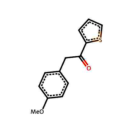 COc1ccc(CC(=O)c2cccs2)cc1